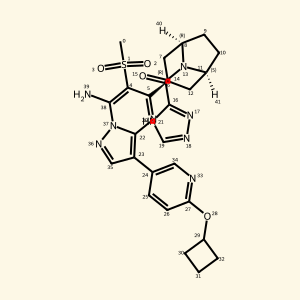 CS(=O)(=O)c1c([C@H]2C[C@H]3CC[C@@H](C2)N3C(=O)c2nnc[nH]2)nc2c(-c3ccc(OC4CCC4)nc3)cnn2c1N